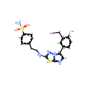 NS(=O)(=O)c1ccc(CCNc2nn3c(-c4ccc(F)c(CI)c4)cnc3s2)cc1